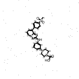 CS(=O)(=O)c1ccc(-c2cccn3nc(Nc4cccc(N5CCN(C(=O)O)CC5)c4)nc23)cc1